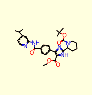 CCOC(=O)c1[nH]c(C2CCCCN2C(=O)OC(C)(C)C)nc1-c1ccc(C(=O)Nc2cc(C(C)C)ccn2)cc1